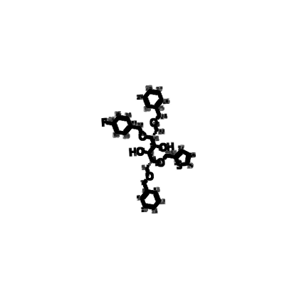 O[C@@H]([C@H](O)[C@@H](COCc1ccccc1)OCc1cccs1)[C@@H](COCc1ccccc1)OCc1ccc(F)cc1